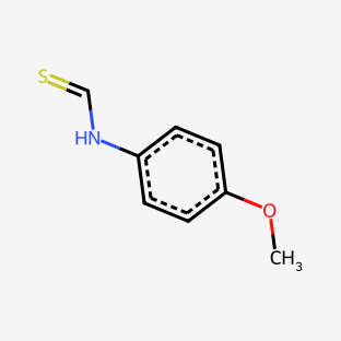 COc1ccc(NC=S)cc1